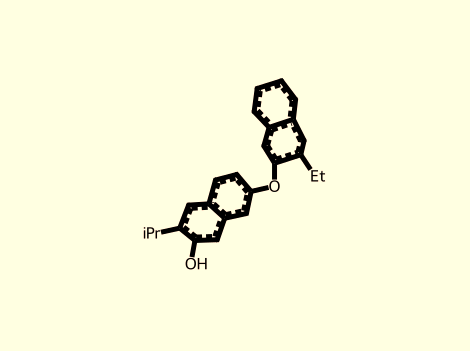 CCc1cc2ccccc2cc1Oc1ccc2cc(C(C)C)c(O)cc2c1